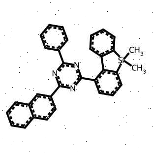 C[Si]1(C)c2ccccc2-c2c(-c3nc(-c4ccccc4)nc(-c4ccc5ccccc5c4)n3)cccc21